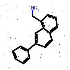 NCc1cccc2ccc(-c3ccccc3)cc12